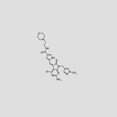 Cn1cc(CN2C(=O)/C(=C\c3cc(C(=O)NCCN4CCOCC4)c[nH]3)c3c(Cl)nc(N)nc32)cn1